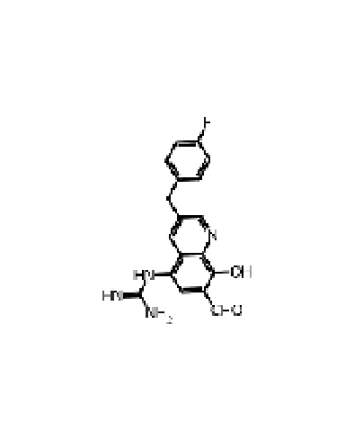 N=C(N)Nc1cc(C=O)c(O)c2ncc(Cc3ccc(F)cc3)cc12